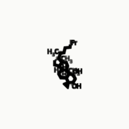 CC(C)CCC[C@@H](C)[C@H]1CC[C@H]2[C@@H]3CC=C4C5(CC5)[C@@H](O)C[C@@H](O)[C@]4(C)[C@H]3CC[C@]12C